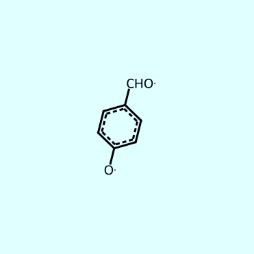 [O]c1ccc([C]=O)cc1